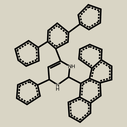 C1=C(c2cc(-c3ccccc3)ccc2-c2ccccc2)NC(c2c3ccccc3cc3ccc4ccccc4c23)NC1c1ccccc1